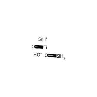 O=[SiH2].[OH-].[O]=[Ti].[SrH+]